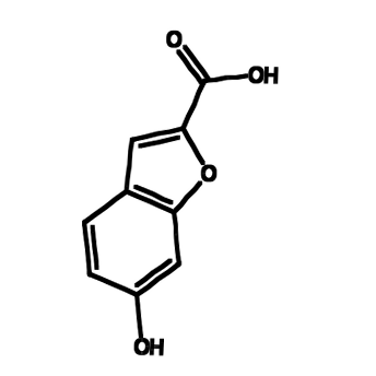 O=C(O)c1cc2ccc(O)cc2o1